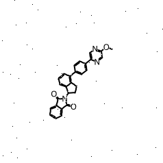 COc1cnc(-c2ccc(-c3cccc4c3CCC4N3C(=O)c4ccccc4C3=O)cc2)cn1